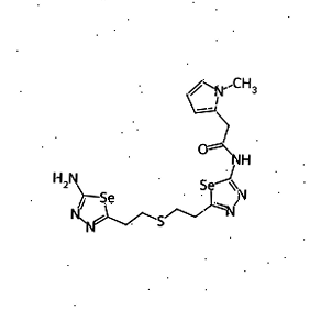 Cn1cccc1CC(=O)Nc1nnc(CCSCCc2nnc(N)[se]2)[se]1